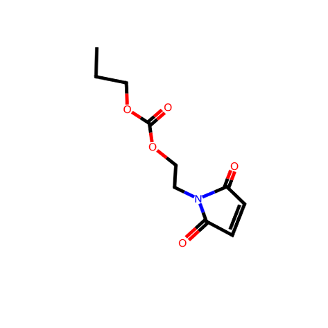 CCCOC(=O)OCCN1C(=O)C=CC1=O